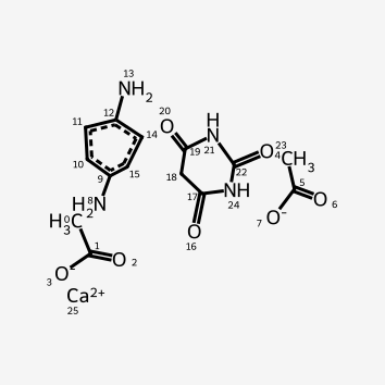 CC(=O)[O-].CC(=O)[O-].Nc1ccc(N)cc1.O=C1CC(=O)NC(=O)N1.[Ca+2]